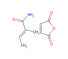 C/C=C(\C)C(N)=O.O=C1C=CC(=O)O1